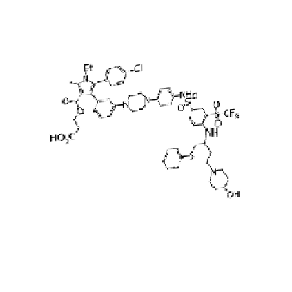 CCn1c(C)c(C(=O)OCCC(=O)O)c(-c2cccc(N3CCN(c4ccc(NS(=O)(=O)c5ccc(NC(CCN6CCC(O)CC6)CSc6ccccc6)c(S(=O)(=O)C(F)(F)F)c5)cc4)CC3)c2)c1-c1ccc(Cl)cc1